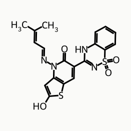 CC(C)=CC=Nn1c(=O)c(C2=NS(=O)(=O)c3ccccc3N2)cc2sc(O)cc21